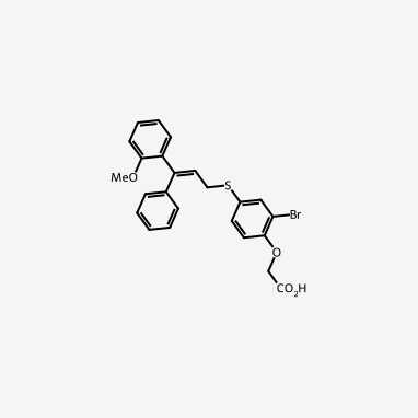 COc1ccccc1C(=CCSc1ccc(OCC(=O)O)c(Br)c1)c1ccccc1